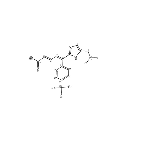 CN(C)Cc1ccc(/C(=C/C=C/C(=O)O)c2ccc(C(F)(F)F)cc2)o1